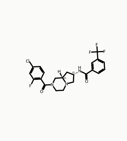 O=C(N[C@H]1C[C@H]2CN(C(=O)c3ccc(Cl)cc3F)CCN2C1)c1cccc(C(F)(F)F)c1